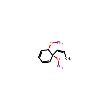 C/C=C\[C@]1(OP)C=CC=C[C@H]1OP